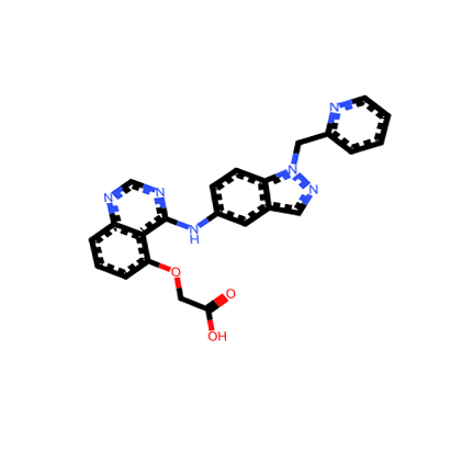 O=C(O)COc1cccc2ncnc(Nc3ccc4c(cnn4Cc4ccccn4)c3)c12